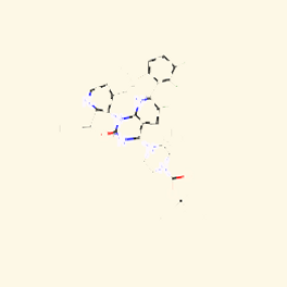 CSc1ccc(F)c(F)c1-c1nc2c(cc1F)c(N1CCN(C(=O)OC(C)(C)C)C[C@@H]1C)nc(=O)n2-c1c(C)ccnc1C(C)C